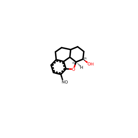 O=Nc1ccc2c3c1O[C@H]1C3C(CC2)CC[C@H]1O